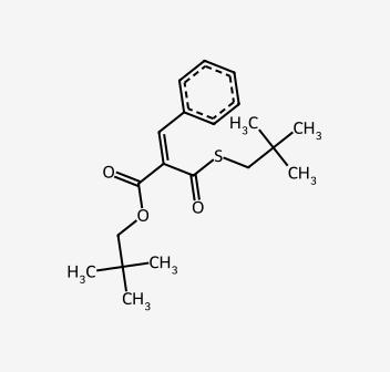 CC(C)(C)COC(=O)/C(=C/c1ccccc1)C(=O)SCC(C)(C)C